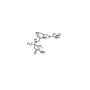 CC(C)CC(CSC1CC(=O)N1)NC(=O)CNC(C)(C)CC(=O)OC(C)(C)C